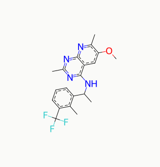 COc1cc2c(NC(C)c3cccc(C(F)(F)F)c3C)nc(C)nc2nc1C